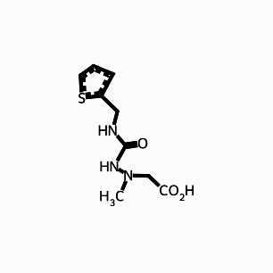 CN(CC(=O)O)NC(=O)NCc1cccs1